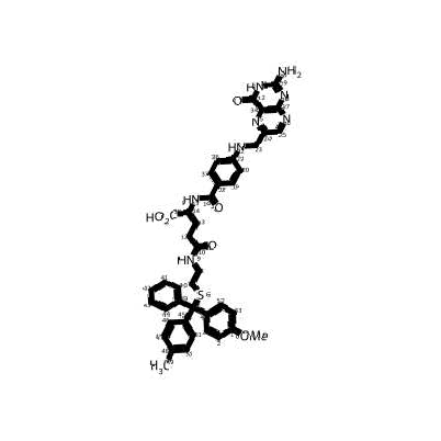 COc1ccc(C(SCCNC(=O)CCC(NC(=O)c2ccc(NCc3cnc4nc(N)[nH]c(=O)c4n3)cc2)C(=O)O)(c2ccccc2)c2ccc(C)cc2)cc1